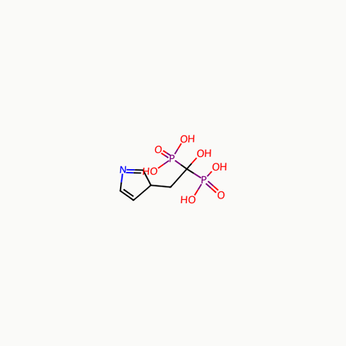 O=P(O)(O)C(O)(CC1C=CN=C1)P(=O)(O)O